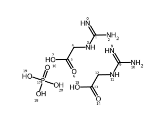 N=C(N)NCC(=O)O.N=C(N)NCC(=O)O.O=P(O)(O)O